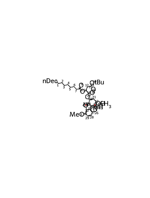 CCCCCCCCCCCCCCCCCC(=O)O[C@@H](CC(=O)OC(C)(C)C)C(=O)OC1=CC[C@@]2(O)[C@H]3Cc4ccc(OC)c5c4[C@@]2(CCN3C)[C@H]1O5